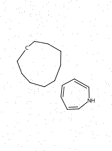 C1=CC=CNC=C1.C1CCCCCCCCC1